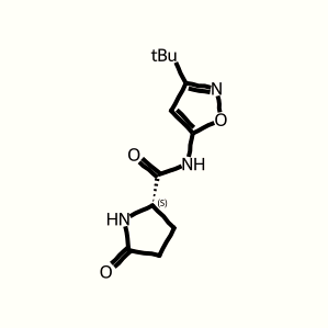 CC(C)(C)c1cc(NC(=O)[C@@H]2CCC(=O)N2)on1